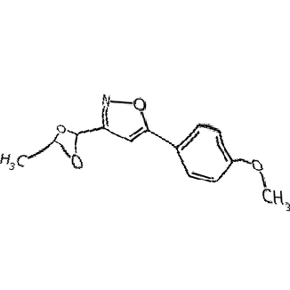 COc1ccc(-c2cc(C3OC(C)O3)no2)cc1